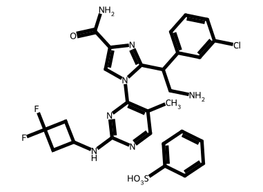 Cc1cnc(NC2CC(F)(F)C2)nc1-n1cc(C(N)=O)nc1C(CN)c1cccc(Cl)c1.O=S(=O)(O)c1ccccc1